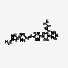 Cn1cc(-c2ncc(C#Cc3cnc(N4CCN(c5ncncn5)[C@@H](COCCF)C4)nc3)cn2)cn1